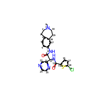 CN1CCc2ccc(NC(=O)C(NC(=O)c3ccc(Cl)s3)c3cnccn3)cc2CC1